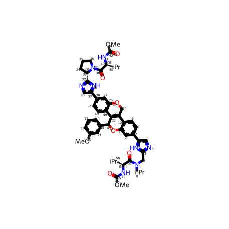 CCCN(Cc1ncc(-c2ccc3c(c2)OC(c2cccc(OC)c2)C2=C3COc3cc(-c4cnc([C@@H]5CCCN5C(=O)[C@@H](NC(=O)OC)C(C)C)[nH]4)ccc32)[nH]1)C(=O)[C@@H](NC(=O)OC)C(C)C